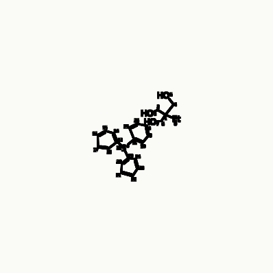 CCC(CO)(CO)CO.c1ccc([S+](c2ccccc2)c2ccccc2)cc1